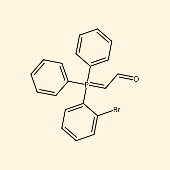 O=CC=P(c1ccccc1)(c1ccccc1)c1ccccc1Br